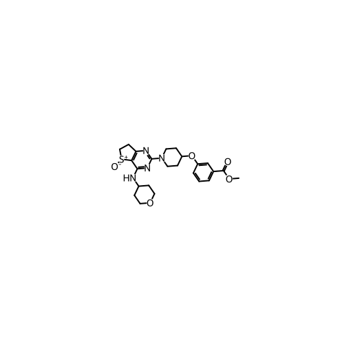 COC(=O)c1cccc(OC2CCN(c3nc4c(c(NC5CCOCC5)n3)[S+]([O-])CC4)CC2)c1